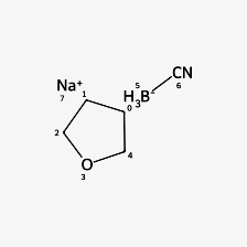 C1CCOC1.[BH3-]C#N.[Na+]